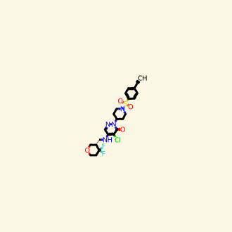 C#Cc1ccc(S(=O)(=O)N2CCC(n3ncc(NC[C@H]4COCCC4(F)F)c(Cl)c3=O)CC2)cc1